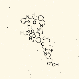 Cc1c(OCCCN2CCN(CC(=O)O)C[C@H]2C(F)(F)F)cccc1-c1ccc(N2CCc3cccc(C(=O)Nc4nc5ccccc5s4)c3C2)nc1C(=O)OC(C)(C)C